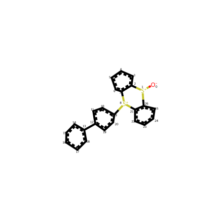 [O-][S+]1c2ccccc2[S+](c2ccc(-c3ccccc3)cc2)c2ccccc21